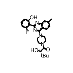 Cc1ccc2c(N3CCN(C(=O)[C@@H](O)C(C)(C)C)CC3)nc(-c3c(O)cccc3F)nc2c1